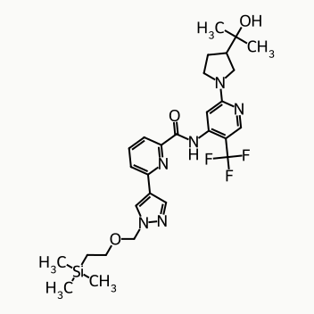 CC(C)(O)C1CCN(c2cc(NC(=O)c3cccc(-c4cnn(COCC[Si](C)(C)C)c4)n3)c(C(F)(F)F)cn2)C1